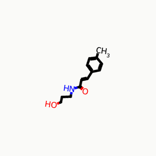 Cc1ccc(/C=C/C(=O)NCCCO)cc1